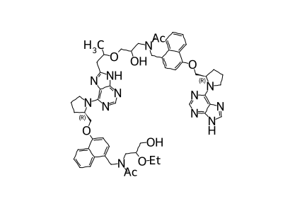 CCOC(CO)CN(Cc1ccc(OC[C@H]2CCCN2c2ncnc3[nH]c(CC(C)OCC(O)CN(Cc4ccc(OC[C@H]5CCCN5c5ncnc6[nH]cnc56)c5ccccc45)C(C)=O)nc23)c2ccccc12)C(C)=O